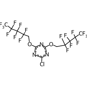 FC(F)(F)C(F)(F)C(F)(F)C(F)(F)COc1nc(Cl)nc(OCC(F)(F)C(F)(F)C(F)(F)C(F)(F)F)n1